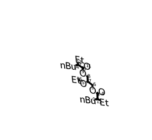 CCCCC(CC)C(=O)OCC(COC(=O)C(CC)CCCC)OCC